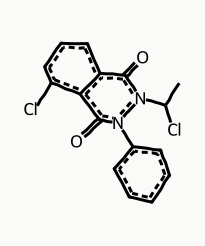 CC(Cl)n1c(=O)c2cccc(Cl)c2c(=O)n1-c1ccccc1